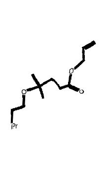 C=CCOC(=O)CCC(C)(C)OCCC(C)C